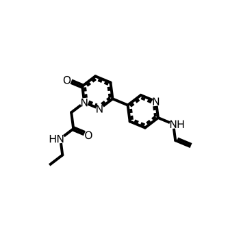 C=CNc1ccc(-c2ccc(=O)n(CC(=O)NCC)n2)cn1